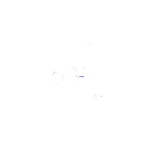 COCOc1cc(CC/C=C/C(=O)O)n(Cc2ccc(C(F)(F)F)cc2Cl)n1